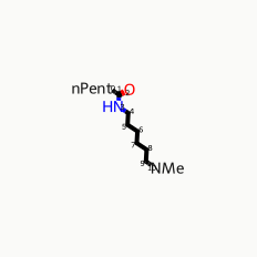 CCCCCC(=O)NCCCCCCNC